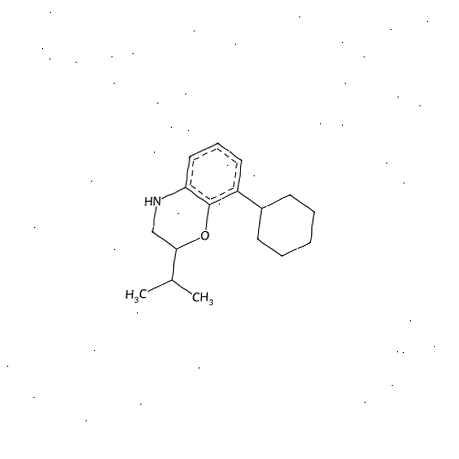 CC(C)C1CNc2cccc(C3CCCCC3)c2O1